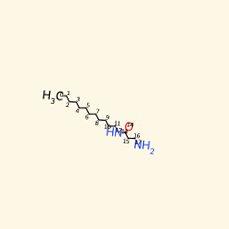 CCCCCCCCCCCCNC(=O)CCN